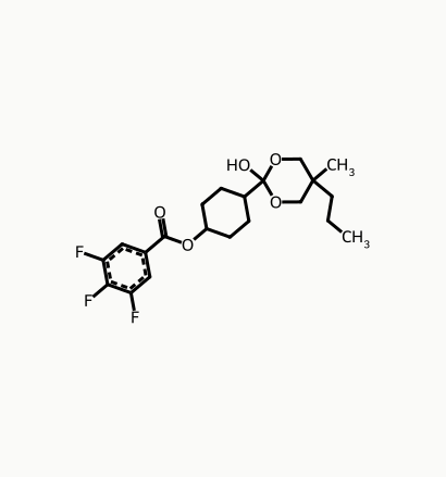 CCCC1(C)COC(O)(C2CCC(OC(=O)c3cc(F)c(F)c(F)c3)CC2)OC1